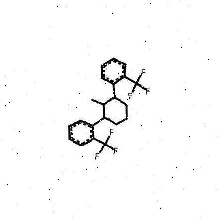 CC1C(c2ccccc2C(F)(F)F)CCCC1c1ccccc1C(F)(F)F